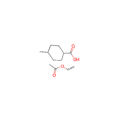 C=COC(C)=O.CC1CCC(C(=O)O)CC1